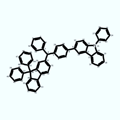 c1ccc(C(c2ccc(-c3ccc4c(c3)c3ccccc3n4-c3ccccc3)cc2)c2ccc3c(c2)C(c2ccccc2)(c2ccccc2)c2ccccc2-3)cc1